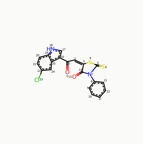 O=C(C=C1SC(=S)N(c2ccccc2)C1=O)c1c[nH]c2ccc(Cl)cc12